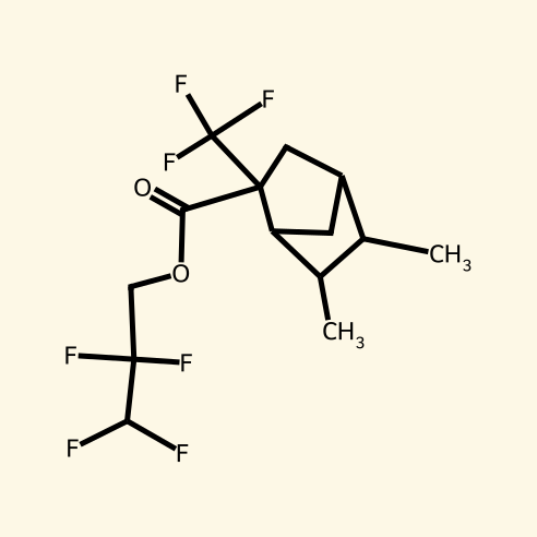 CC1C2CC(C1C)C(C(=O)OCC(F)(F)C(F)F)(C(F)(F)F)C2